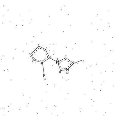 Cc1cn(-c2ccccc2F)cn1